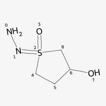 NN=S1(=O)CCC(O)C1